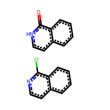 Clc1nccc2ccccc12.O=c1[nH]ccc2ccccc12